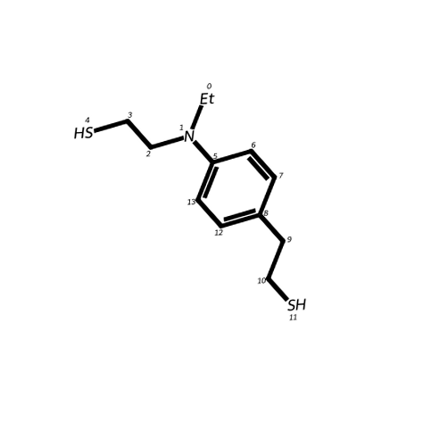 CCN(CCS)c1ccc(CCS)cc1